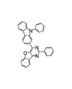 c1ccc(-c2nc(-c3ccc4c5ccccc5n(-c5ccccc5)c4c3)c3oc4ccccc4c3n2)cc1